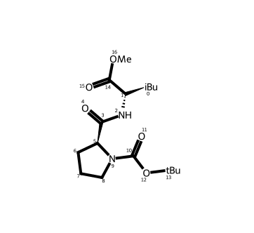 CC[C@H](C)[C@H](NC(=O)[C@@H]1CCCN1C(=O)OC(C)(C)C)C(=O)OC